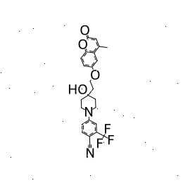 Cc1cc(=O)oc2ccc(OCCC3(O)CCN(c4ccc(C#N)c(C(F)(F)F)c4)CC3)cc12